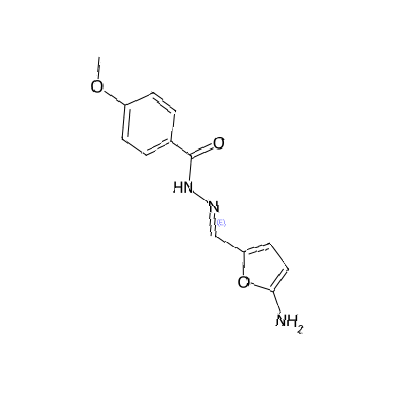 COc1ccc(C(=O)N/N=C/c2ccc(N)o2)cc1